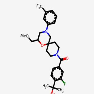 COCC1CN(c2cccc(C(F)(F)F)c2)CC2(CCN(C(=O)c3ccc(C(C)(C)O)c(F)c3)CC2)O1